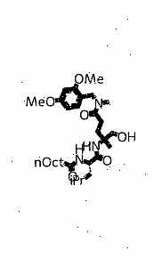 CCCCCCCCC(=O)N[C@@H](CC(C)C)C(=O)NC(C)(CO)CCC(=O)N(C)Cc1ccc(OC)cc1OC